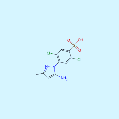 Cc1cc(N)n(-c2cc(Cl)c(S(=O)(=O)O)cc2Cl)n1